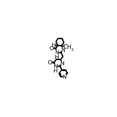 C[C@]12CCCC[C@H]1C(=O)NC(CC1CC(=O)NC(c3ccncc3)=N1)=N2